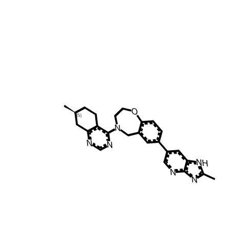 Cc1nc2ncc(-c3ccc4c(c3)CN(c3ncnc5c3CC[C@H](C)C5)CCO4)cc2[nH]1